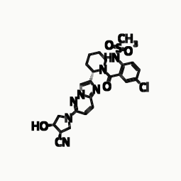 CS(=O)(=O)Nc1ccc(Cl)cc1C(=O)N1CCCC[C@H]1c1cn2nc(N3C[C@@H](C#N)[C@@H](O)C3)ccc2n1